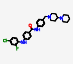 O=C(Nc1ccc(CN2CCC(N3CCCCC3)CC2)cc1)c1ccc(Nc2ccc(Cl)cc2F)cc1